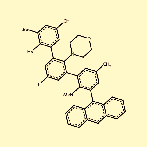 CNc1c(-c2cc(F)cc(-c3cc(C)cc(C(C)(C)C)c3S)c2N2CCOCC2)cc(C)cc1-c1c2ccccc2cc2ccccc12